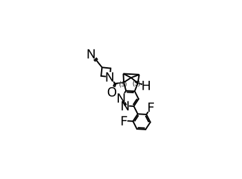 N#CC1CN(C(=O)[C@@]23c4nnc(-c5c(F)cccc5F)cc4[C@H]4C5C2C543)C1